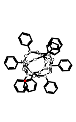 c1ccc([Si]23O[SiH2]O[Si]4(c5ccccc5)O[Si]5(c6ccccc6)O[Si]6(c7ccccc7)O[SiH2]O[Si](c7ccccc7)(O[Si](c7ccccc7)(O2)O5)O[Si](c2ccccc2)(O3)O[Si](c2ccccc2)(O4)O6)cc1